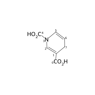 O=C(O)C1=CN(C(=O)O)C=CC1